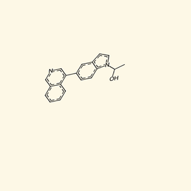 CC(O)n1ccc2cc(-c3cncc4ccccc34)ccc21